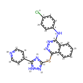 Clc1ccc(Nc2nnc(Sc3n[nH]c(-c4ccncc4)n3)c3ccccc23)cc1